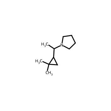 CC(C1CC1(C)C)N1CCCC1